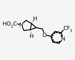 O=C(O)N1C[C@@H]2C(COc3ccnc(C(F)(F)F)c3)[C@@H]2C1